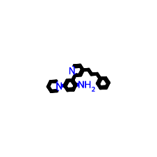 Nc1ccc(N2CCCCC2)cc1-c1cc(CCCc2ccccc2)ccn1